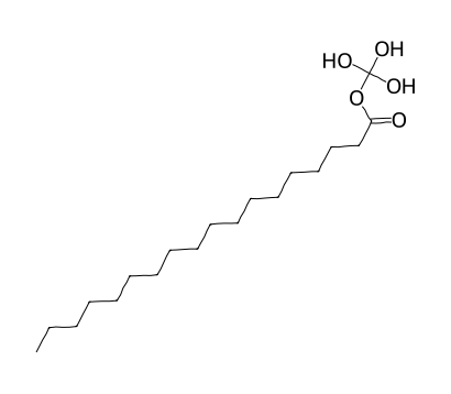 CCCCCCCCCCCCCCCCCC(=O)OC(O)(O)O